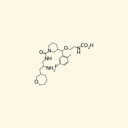 Cc1ccc(F)cc1C(OCCNC(=O)O)C1CCCN(C(=O)NCC(N)CC2CCCCOC2)C1